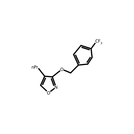 CCCc1conc1OCc1ccc(C(F)(F)F)cc1